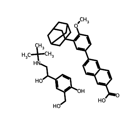 CC(C)(C)NCC(O)c1ccc(O)c(CO)c1.COc1ccc(-c2ccc3cc(C(=O)O)ccc3c2)cc1C12CC3CC(CC(C3)C1)C2